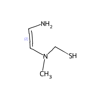 CN(/C=C\N)CS